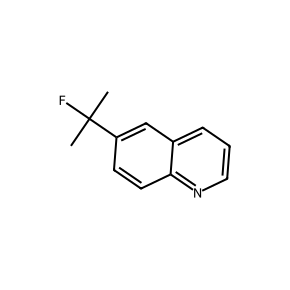 CC(C)(F)c1ccc2ncccc2c1